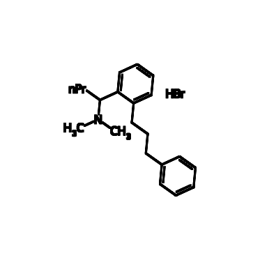 Br.CCCC(c1ccccc1CCCc1ccccc1)N(C)C